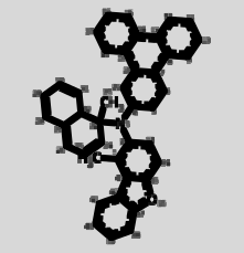 Cc1c(N(c2ccc3c4ccccc4c4ccccc4c3c2)C2(C)C=CC=C3C=CC=CC32)ccc2oc3ccccc3c12